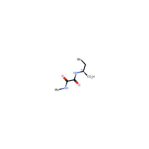 CC(C)(C)C[C@H](NC(=O)C(=O)NC(C)(C)C)C(=O)O